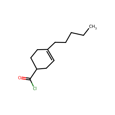 CCCCCC1=CCC(C(=O)Cl)CC1